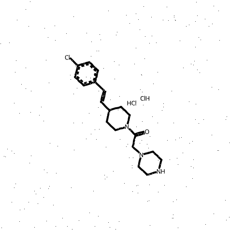 Cl.Cl.O=C(CN1CCNCC1)N1CCC(C=Cc2ccc(Cl)cc2)CC1